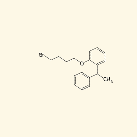 CC(c1ccccc1)c1ccccc1OCCCCBr